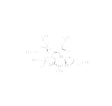 CCOC(=O)c1c(OP(=O)(OCC)OCC)c(OP(C)(C)=O)c(C(=O)N(C)C)n1-c1ccc(OC)cc1